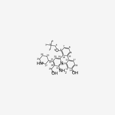 CC(C)(C)COc1cccc(-c2ccc(O)cc2)c1-c1cc(C2CCCNC2)c(CO)c(N)n1